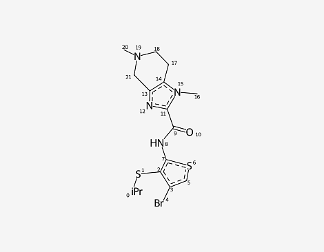 CC(C)Sc1c(Br)csc1NC(=O)c1nc2c(n1C)CCN(C)C2